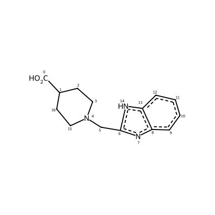 O=C(O)C1CCN(Cc2nc3ccccc3[nH]2)CC1